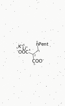 CCCCCCC(C(=O)[O-])C(=O)[O-].[K+].[Li+]